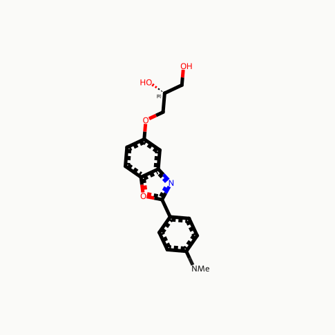 CNc1ccc(-c2nc3cc(OC[C@H](O)CO)ccc3o2)cc1